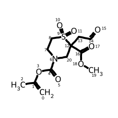 C=C(C)OC(=O)N1CCS(=O)(=O)C(CC=O)(C(=O)OC)C1